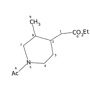 CCOC(=O)CC1CCN(C(C)=O)CC1C